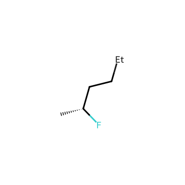 CCCC[C@@H](C)F